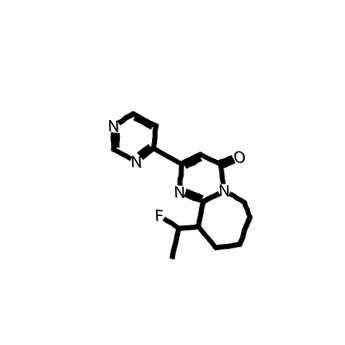 CC(F)C1CCCCn2c1nc(-c1ccncn1)cc2=O